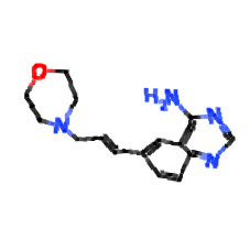 Nc1ncnc2ccc(C=CCN3CCOCC3)cc12